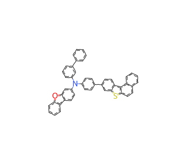 c1ccc(-c2cccc(N(c3ccc(-c4ccc5c(c4)sc4ccc6ccccc6c45)cc3)c3ccc4c(c3)oc3ccccc34)c2)cc1